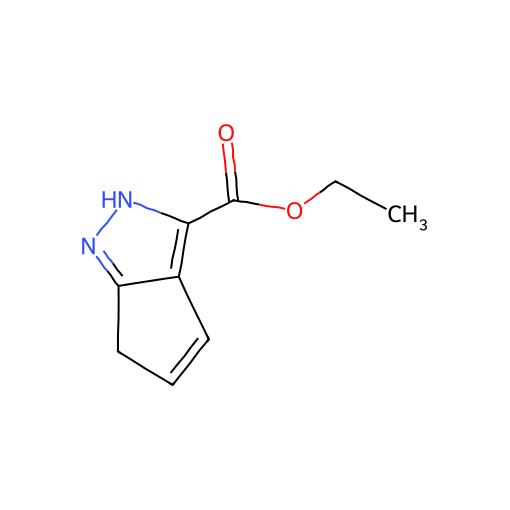 CCOC(=O)c1[nH]nc2c1C=CC2